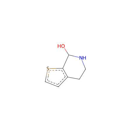 OC1NCCc2ccsc21